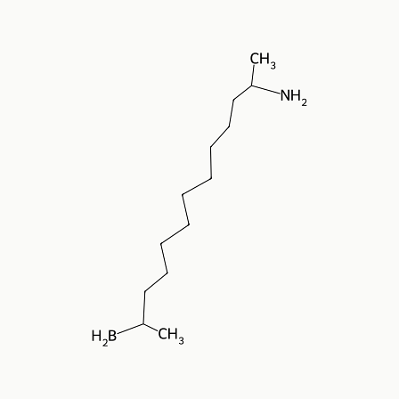 BC(C)CCCCCCCCCC(C)N